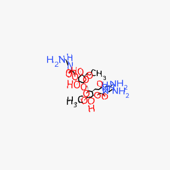 COC[C@H]1O[C@H](OC[C@H]2O[C@H](OC)[C@H](O)[C@@H](OCC(=O)NCCN)[C@@H]2CCC(=O)NCCN)[C@H](O)[C@@H](OCC(=O)NCCN)[C@@H]1O